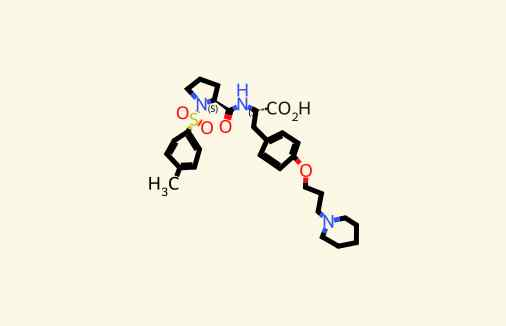 Cc1ccc(S(=O)(=O)N2CCC[C@H]2C(=O)N[C@@H](Cc2ccc(OCCCN3CCCCC3)cc2)C(=O)O)cc1